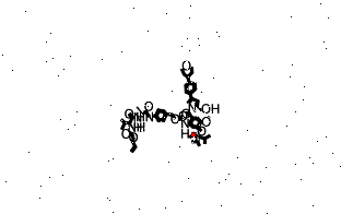 C=CCOC(=O)N[C@H](C(=O)N[C@@H](C)C(=O)Nc1ccc(COC(=O)Nc2cc(O[Si](C(C)C)(C(C)C)C(C)C)c(OC)cc2C(=O)N2C=C(c3ccc(C4CCOCC4)cc3)C[C@H]2CO)cc1)C(C)C